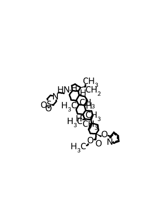 C=C(C)[C@@H]1CC[C@]2(NCCN3CCS(=O)(=O)CC3)CC[C@]3(C)[C@H](CC[C@@H]4[C@@]5(C)CC=C(C6=CC[C@@](COc7ccccn7)(C(=O)OCC)CC6)C(C)(C)[C@@H]5CC[C@]43C)[C@@H]12